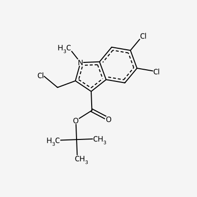 Cn1c(CCl)c(C(=O)OC(C)(C)C)c2cc(Cl)c(Cl)cc21